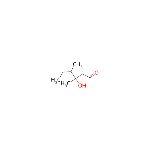 CCC(C)C(C)(O)CC=O